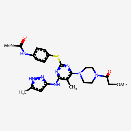 CNC(=O)Nc1ccc(Sc2nc(Nc3cc(C)[nH]n3)c(C)c(N3CCN(C(=O)COC)CC3)n2)cc1